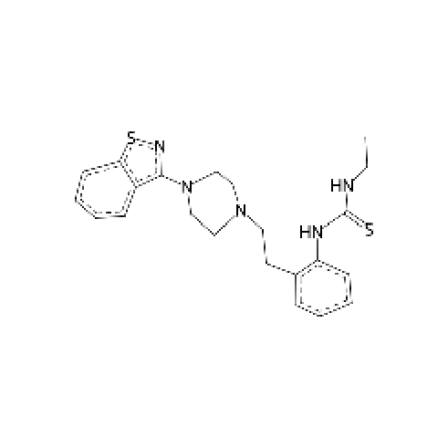 CCNC(=S)Nc1ccccc1CCN1CCN(c2nsc3ccccc23)CC1